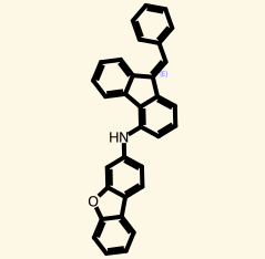 C(=C1/c2ccccc2-c2c(Nc3ccc4c(c3)oc3ccccc34)cccc21)/c1ccccc1